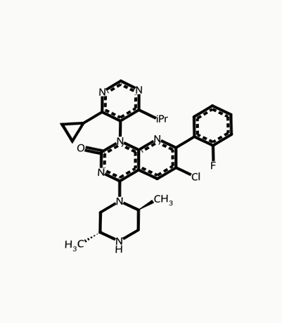 CC(C)c1ncnc(C2CC2)c1-n1c(=O)nc(N2C[C@@H](C)NC[C@@H]2C)c2cc(Cl)c(-c3ccccc3F)nc21